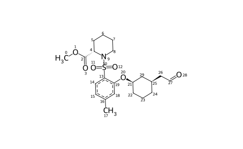 COC(=O)[C@@H]1CCCCN1S(=O)(=O)c1ccc(C)cc1O[C@@H]1CCC[C@H](CC=O)C1